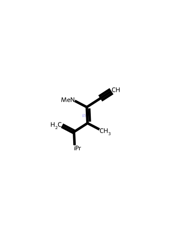 C#C/C(NC)=C(\C)C(=C)C(C)C